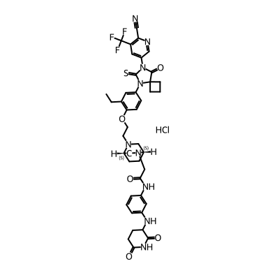 CCc1cc(N2C(=S)N(c3cnc(C#N)c(C(F)(F)F)c3)C(=O)C23CCC3)ccc1OCCN1C[C@@H]2CC[C@H]1CN2CC(=O)Nc1cccc(NC2CCC(=O)NC2=O)c1.Cl